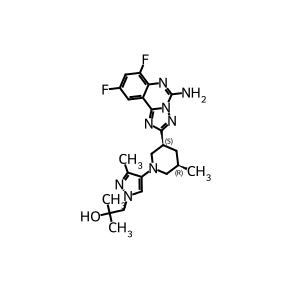 Cc1nn(CC(C)(C)O)cc1N1C[C@H](C)C[C@H](c2nc3c4cc(F)cc(F)c4nc(N)n3n2)C1